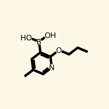 CCCOc1ncc(C)cc1B(O)O